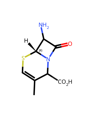 CC1=CS[C@@H]2C(N)C(=O)N2C1C(=O)O